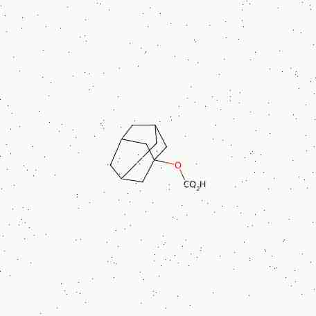 O=C(O)OC12CC3CC(CC(C3)C1)C2